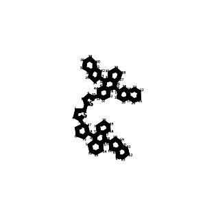 c1cc(-c2ccc(-c3ccc(-c4ccc5c(-c6ccc7ccccc7c6)c6ccccc6c(-c6ccc7ccccc7c6)c5c4)s3)s2)cc(-c2c3ccccc3c(-c3ccc4ccccc4c3)c3ccccc23)c1